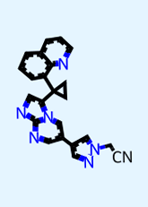 N#CCn1cc(-c2cnc3ncc(C4(c5cccc6cccnc56)CC4)n3c2)cn1